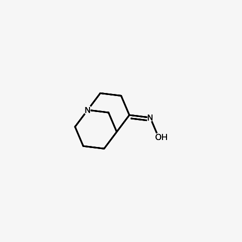 ON=C1CCN2CCCC1C2